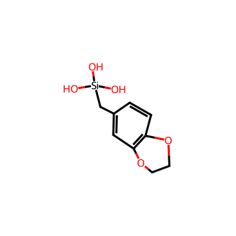 O[Si](O)(O)Cc1ccc2c(c1)OCCO2